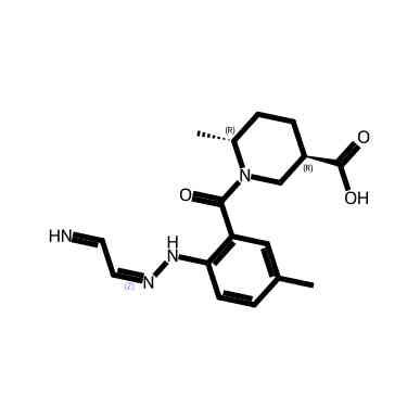 Cc1ccc(N/N=C\C=N)c(C(=O)N2C[C@H](C(=O)O)CC[C@H]2C)c1